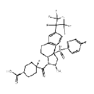 C[C@@H]1CC2(S(=O)(=O)c3ccc(F)cc3)c3ccc(C(F)(C(F)(F)F)C(F)(F)F)cc3CCC2N1C(=O)[C@]1(F)CC[C@@H](C(=O)O)CC1